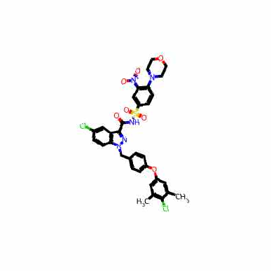 Cc1cc(Oc2ccc(Cn3nc(C(=O)NS(=O)(=O)c4ccc(N5CCOCC5)c([N+](=O)[O-])c4)c4cc(Cl)ccc43)cc2)cc(C)c1Cl